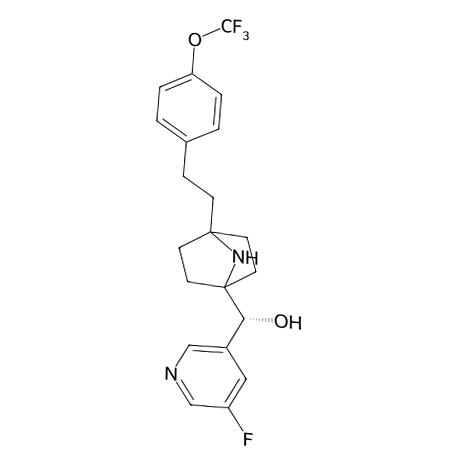 O[C@H](c1cncc(F)c1)C12CCC(CCc3ccc(OC(F)(F)F)cc3)(CC1)N2